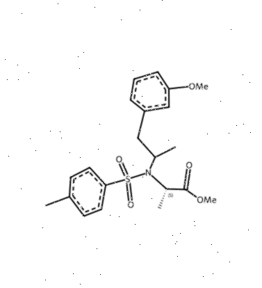 COC(=O)[C@H](C)N(C(C)Cc1cccc(OC)c1)S(=O)(=O)c1ccc(C)cc1